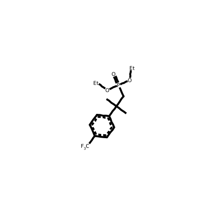 CCOP(=O)(CC(C)(C)c1ccc(C(F)(F)F)cc1)OCC